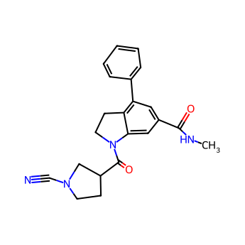 CNC(=O)c1cc(-c2ccccc2)c2c(c1)N(C(=O)C1CCN(C#N)C1)CC2